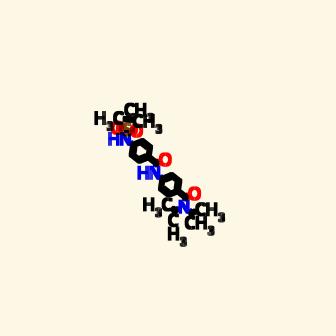 CC(C)N(C(=O)c1ccc(NC(=O)c2ccc(NS(=O)(=O)C(C)(C)C)cc2)cc1)C(C)C